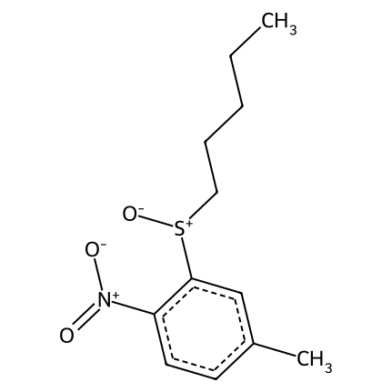 CCCCC[S+]([O-])c1cc(C)ccc1[N+](=O)[O-]